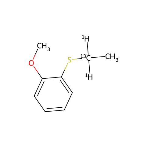 [1H][13C]([1H])(C)Sc1ccccc1OC